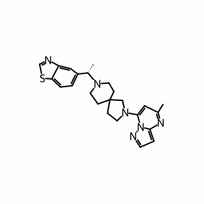 Cc1cc(N2CCC3(CCN([C@@H](C)c4ccc5scnc5c4)CC3)C2)n2nccc2n1